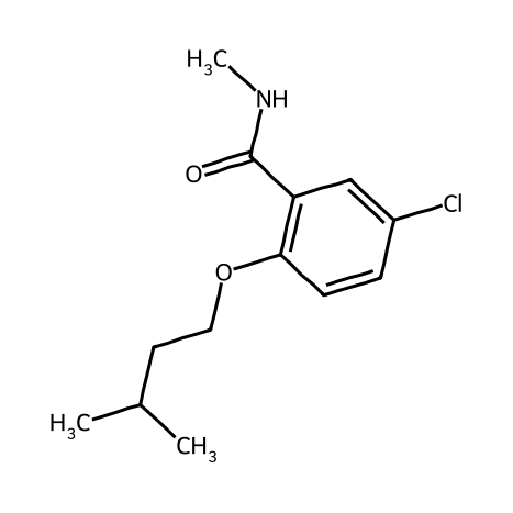 CNC(=O)c1cc(Cl)ccc1OCCC(C)C